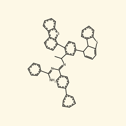 CC(/N=C(\N=C(/N)c1ccccc1)c1ccc(-c2ccccc2)cc1)c1cc(C2C=CC=C3Sc4ccccc4C32)ccc1-c1cccc2c1sc1ccccc12